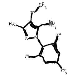 N#Cc1nn(-c2c(Cl)cc(C(F)(F)F)cc2Br)c(N)c1SC(F)(F)F